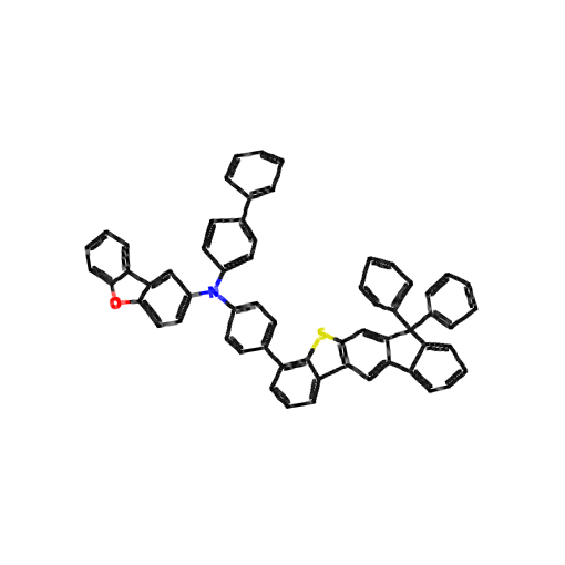 c1ccc(-c2ccc(N(c3ccc(-c4cccc5c4sc4cc6c(cc45)-c4ccccc4C6(c4ccccc4)c4ccccc4)cc3)c3ccc4oc5ccccc5c4c3)cc2)cc1